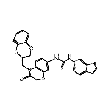 O=C(Nc1ccc2c(c1)OCC(=O)N2CC1COc2ccccc2O1)Nc1ccc2cc[nH]c2c1